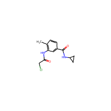 Cc1ccc(C(=O)NC2CC2)cc1NC(=O)CCl